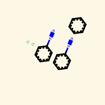 N#[N+]c1ccccc1.N#[N+]c1ccccc1.[Cl-].[Cl-].c1ccccc1